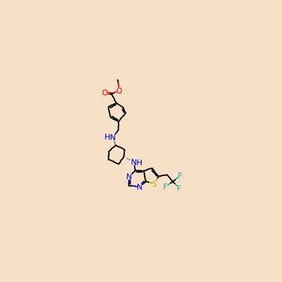 COC(=O)c1ccc(CN[C@H]2CCC[C@@H](Nc3ncnc4sc(CC(F)(F)F)cc34)C2)cc1